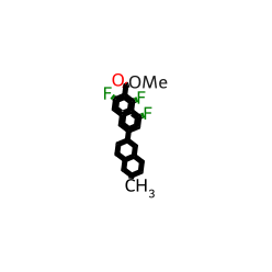 COC(=O)c1c(F)cc2cc(C3CCC4CC(C)CCC4C3)cc(F)c2c1F